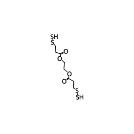 O=C(CCSS)OCCOC(=O)CCSS